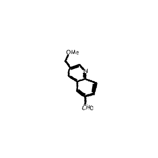 COCc1cnc2ccc(C=O)cc2c1